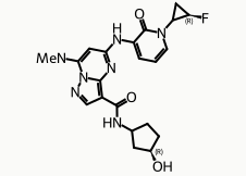 CNc1cc(Nc2cccn(C3C[C@H]3F)c2=O)nc2c(C(=O)NC3CC[C@@H](O)C3)cnn12